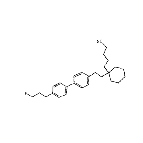 N#CCCCCC1(CCc2ccc(-c3ccc(CCCF)cc3)cc2)CCCCC1